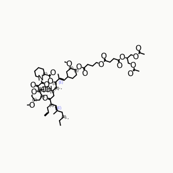 C=CC[C@H](/C=C(\C)C[C@H](C)CC)C(=O)C[C@H](O)[C@@H](C)[C@H](OC(=O)[C@@H]1CCCCN1C(=O)C(=O)[C@]1(O)OC[C@@H](OC)C[C@H]1C)/C(C)=C/C1CC[C@@H](OC(=O)CCCOC(=O)CCC(=O)OC(COC(C)=O)COC(C)=O)[C@H](OC)C1